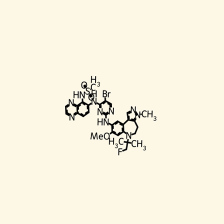 COc1cc2c(cc1Nc1ncc(Br)c(Nc3ccc4nccnc4c3NS(C)(=O)=O)n1)-c1cnn(C)c1CCN2C(C)(C)CF